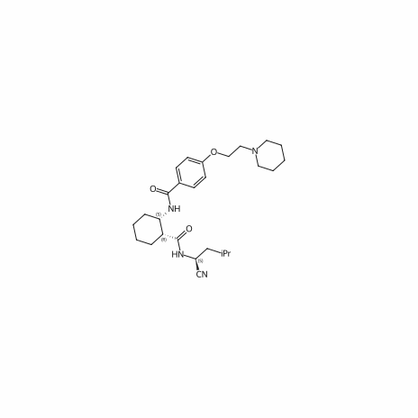 CC(C)C[C@@H](C#N)NC(=O)[C@@H]1CCCC[C@@H]1NC(=O)c1ccc(OCCN2CCCCC2)cc1